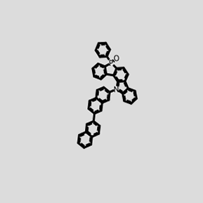 O=P1(c2ccccc2)c2ccccc2-c2c1ccc1c3ccccc3n(-c3ccc4ccc(-c5ccc6ccccc6c5)cc4c3)c21